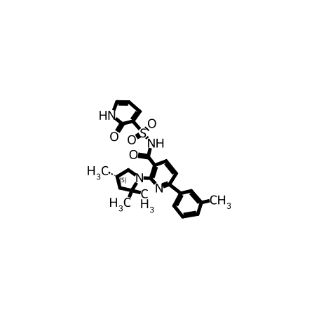 Cc1cccc(-c2ccc(C(=O)NS(=O)(=O)c3ccc[nH]c3=O)c(N3C[C@@H](C)CC3(C)C)n2)c1